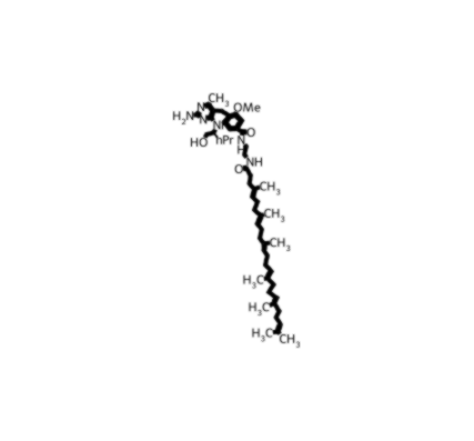 CCC[C@@H](CO)Nc1nc(N)nc(C)c1Cc1ccc(C(=O)NCCNC(=O)CC/C(C)=C/CC/C(C)=C/CC/C(C)=C/CC/C=C(\C)CC/C=C(\C)CCC=C(C)C)cc1OC